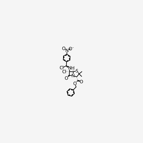 CC1(C)S[C@H]2N(C(=O)[C@@]2(Cl)N=C(Cl)c2ccc([N+](=O)[O-])cc2)[C@H]1C(=O)OCc1ccccc1